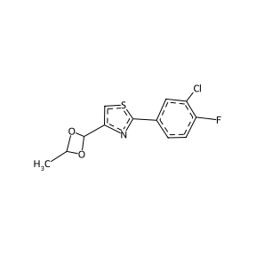 CC1OC(c2csc(-c3ccc(F)c(Cl)c3)n2)O1